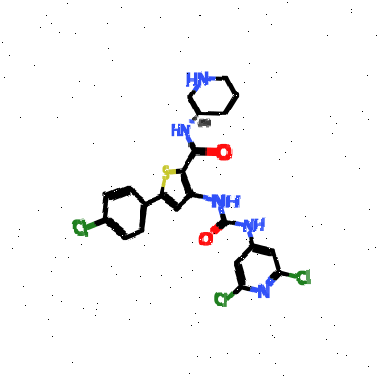 O=C(Nc1cc(Cl)nc(Cl)c1)Nc1cc(-c2ccc(Cl)cc2)sc1C(=O)N[C@H]1CCCNC1